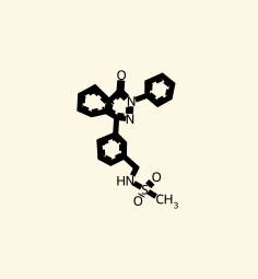 CS(=O)(=O)NCc1cccc(-c2nn(-c3ccccc3)c(=O)c3ccccc23)c1